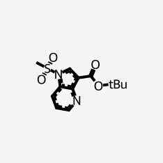 CC(C)(C)OC(=O)c1cn(S(C)(=O)=O)c2cccnc12